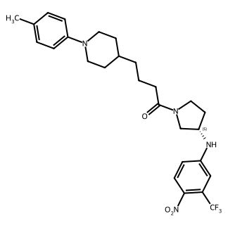 Cc1ccc(N2CCC(CCCC(=O)N3CC[C@H](Nc4ccc([N+](=O)[O-])c(C(F)(F)F)c4)C3)CC2)cc1